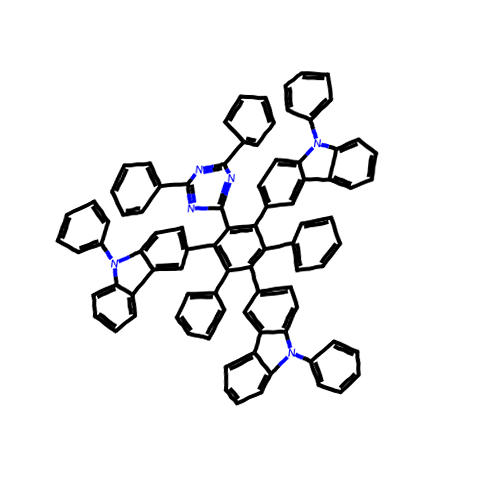 c1ccc(-c2nc(-c3ccccc3)nc(-c3c(-c4ccc5c(c4)c4ccccc4n5-c4ccccc4)c(-c4ccccc4)c(-c4ccc5c(c4)c4ccccc4n5-c4ccccc4)c(-c4ccccc4)c3-c3ccc4c(c3)c3ccccc3n4-c3ccccc3)n2)cc1